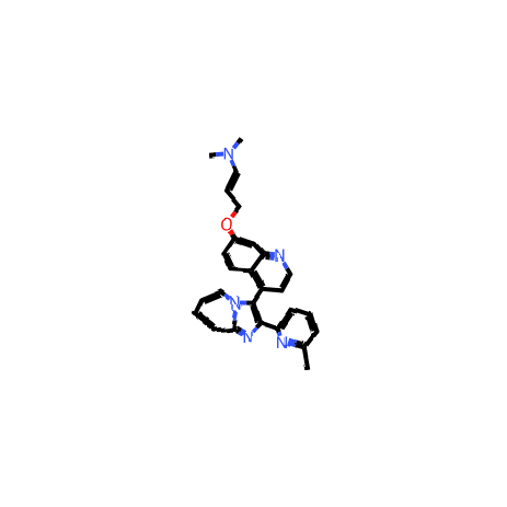 Cc1cccc(-c2nc3ccccn3c2-c2ccnc3cc(OCC=CN(C)C)ccc23)n1